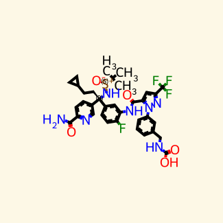 CC(C)(C)[S@@+]([O-])N[C@@](CCC1CC1)(c1ccc(C(N)=O)nc1)c1ccc(F)c(NC(=O)c2cc(C(F)(F)F)nn2-c2cccc(CNC(=O)O)c2)c1